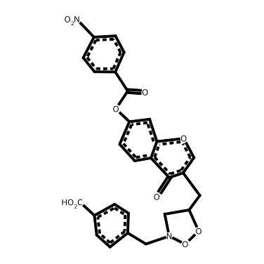 O=C(O)c1ccc(CN2CC(Cc3coc4cc(OC(=O)c5ccc([N+](=O)[O-])cc5)ccc4c3=O)OO2)cc1